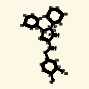 Fc1ccc(CNC2=N[C@@H](c3ccccc3)[C@@H](c3ccccc3)N2)cc1F